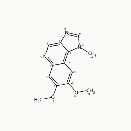 COc1cc2ncc3ncn(C)c3c2cc1OC